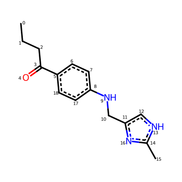 CCCC(=O)c1ccc(NCc2c[nH]c(C)n2)cc1